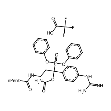 CCCCCC(=O)NCCC(OC(N)=O)(c1ccc(NC(=N)N)cc1)P(=O)(Oc1ccccc1)Oc1ccccc1.O=C(O)C(F)(F)F